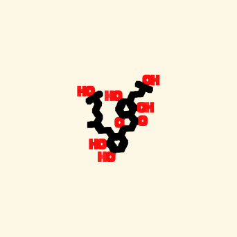 CC(=CCc1c(C2CC(=O)c3c(cc(O)c(CCC(C)(C)O)c3O)O2)ccc(O)c1O)CCCC(C)(C)O